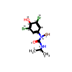 CC(C)NC(=O)N(S)c1cc(Br)c(O)c(Br)c1